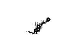 C[C@H](CCCO)[C@H]1CC[C@H]2[C@@H]3CC[C@@H]4C[C@@H](NC(=O)[C@@H](N)COCc5ccccc5)CC[C@]4(C)[C@H]3CC[C@]12C.Cl